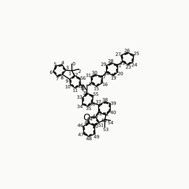 CC1(C)c2ccccc2-c2ccc(N(c3ccc(-c4ccc(-c5ccccc5)cc4)cc3)c3cccc(-c4cccc5c4-c4oc6ccccc6c4C5(C)C)c3)cc21